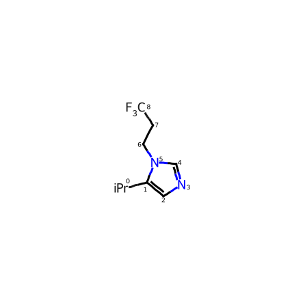 CC(C)c1cncn1CCC(F)(F)F